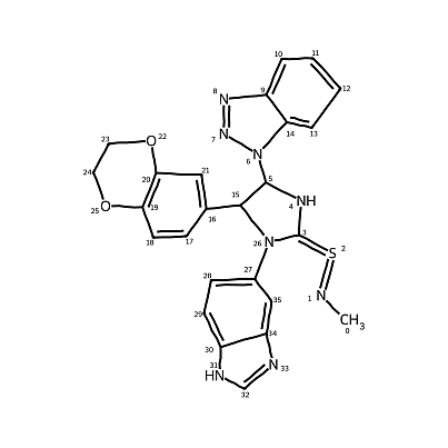 CN=S=C1NC(n2nnc3ccccc32)C(c2ccc3c(c2)OCCO3)N1c1ccc2[nH]cnc2c1